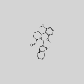 COc1cccc(OC)c1C1CCCC(C=O)N1Cc1cc2ccccc2n1C